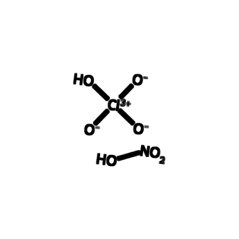 O=[N+]([O-])O.[O-][Cl+3]([O-])([O-])O